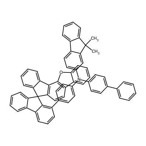 CC1(C)c2ccccc2-c2ccc(N(c3ccc(-c4ccccc4)cc3)c3ccc(-c4cccc5c4C4(c6ccccc6-5)c5ccccc5-c5c4ccc4c5oc5ccccc54)cc3)cc21